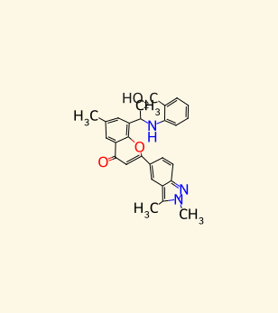 Cc1cc(C(C)Nc2ccccc2C(=O)O)c2oc(-c3ccc4nn(C)c(C)c4c3)cc(=O)c2c1